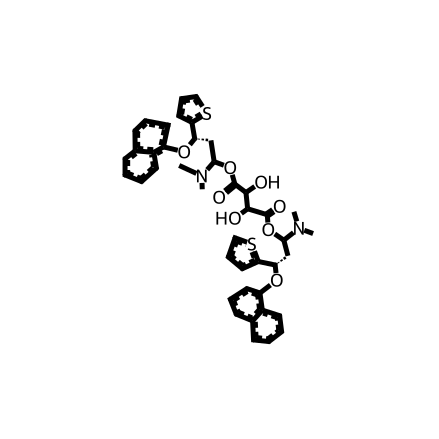 CN(C)C(C[C@H](Oc1cccc2ccccc12)c1cccs1)OC(=O)C(O)C(O)C(=O)OC(C[C@H](Oc1cccc2ccccc12)c1cccs1)N(C)C